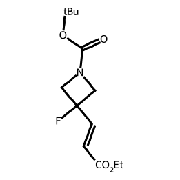 CCOC(=O)C=CC1(F)CN(C(=O)OC(C)(C)C)C1